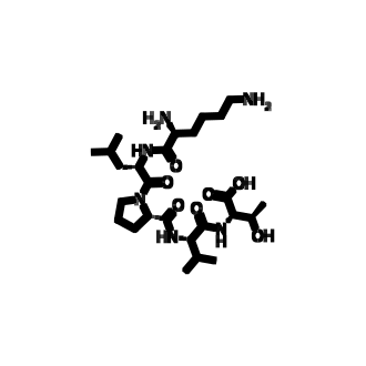 CC(C)C[C@H](NC(=O)[C@@H](N)CCCCN)C(=O)N1CCC[C@H]1C(=O)N[C@H](C(=O)N[C@H](C(=O)O)[C@@H](C)O)C(C)C